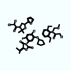 CC(C)=C1OC(=O)N(c2cc(OC3CCCC3)c(Cl)cc2F)C1=O.CC1(C)OC(c2ccco2)CN1C(=O)C(Cl)Cl.CCc1cccc(CC)c1N(COC)C(=O)CCl